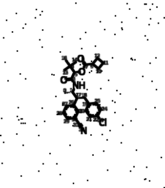 C[C@H](NC(=O)[C@H](OC(=O)C1CCC1)C(C)(C)C)[C@@H](Cc1ccc(Cl)cc1)c1cccc(C#N)c1